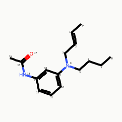 CC=CCN(CCCC)c1cccc(NC(C)=O)c1